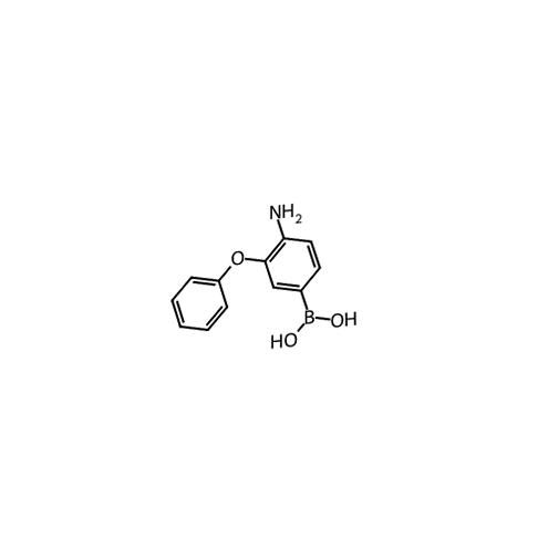 Nc1ccc(B(O)O)cc1Oc1ccccc1